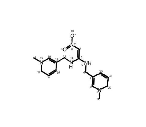 CN1C=C(CNC(=C[N+](=O)[O-])NCC2=CN(C)CC=C2)C=CC1